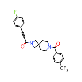 O=C(C#Cc1ccc(F)cc1)N1CC2(CCN(C(=O)c3ccc(C(F)(F)F)cc3)CC2)C1